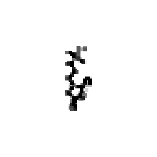 C[Si](C)(F)CCCC1CC(=O)OC1=O